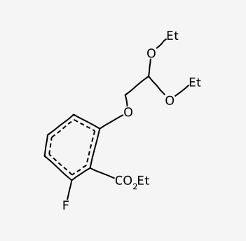 CCOC(=O)c1c(F)cccc1OCC(OCC)OCC